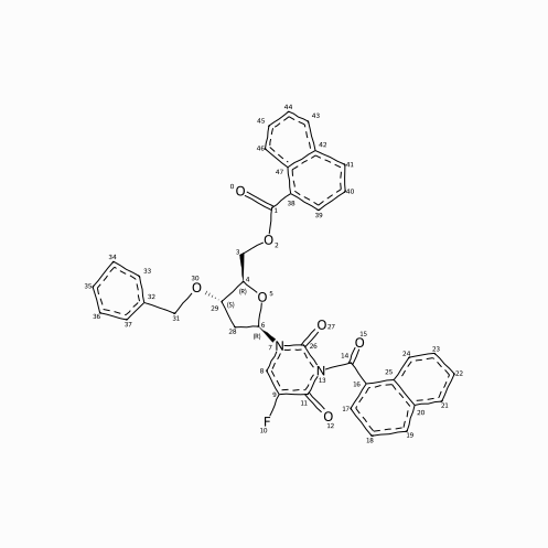 O=C(OC[C@H]1O[C@@H](n2cc(F)c(=O)n(C(=O)c3cccc4ccccc34)c2=O)C[C@@H]1OCc1ccccc1)c1cccc2ccccc12